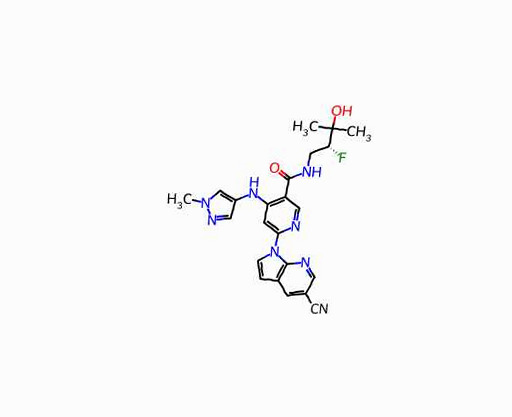 Cn1cc(Nc2cc(-n3ccc4cc(C#N)cnc43)ncc2C(=O)NC[C@@H](F)C(C)(C)O)cn1